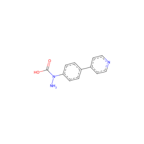 NN(C(=O)O)c1ccc(-c2ccncc2)cc1